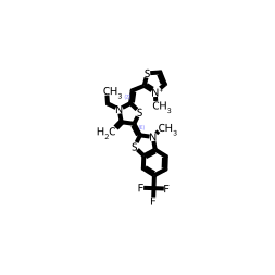 C=C1/C(=C2\Sc3cc(C(F)(F)F)ccc3N2C)S/C(=C\c2scc[n+]2C)N1CC